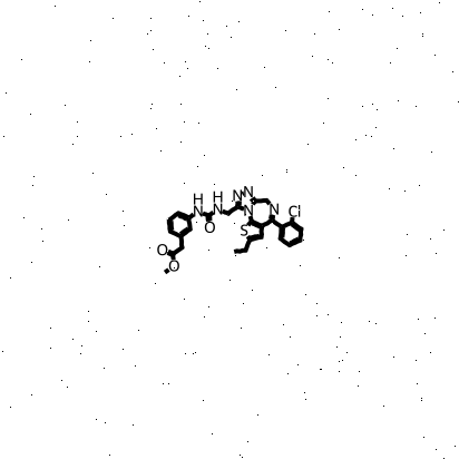 CCc1cc2c(s1)-n1c(nnc1CNC(=O)Nc1cccc(CC(=O)OC)c1)CN=C2c1ccccc1Cl